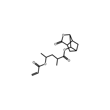 C=CC(=O)OC(C)CC(C)C(=O)OC1C2CC3C(=O)OC1C3C2